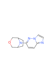 c1cn2nc(N3C4CCC3COC4)ccc2n1